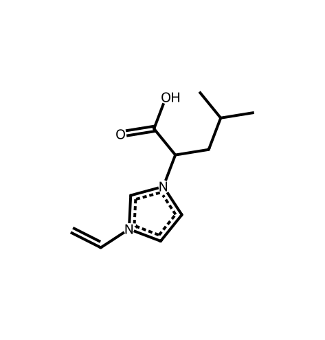 C=C[n+]1ccn(C(CC(C)C)C(=O)O)c1